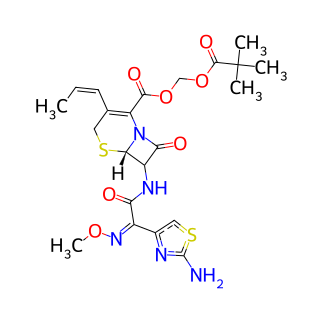 C/C=C\C1=C(C(=O)OCOC(=O)C(C)(C)C)N2C(=O)C(NC(=O)/C(=N\OC)c3csc(N)n3)[C@@H]2SC1